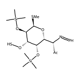 CS[C@H]1O[C@H]([C@H](N=P)C(C)=O)[C@H](O[Si](C)(C)C)[C@H](OS)[C@H]1O[Si](C)(C)C